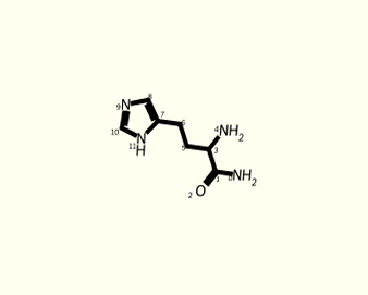 NC(=O)C(N)CCc1cnc[nH]1